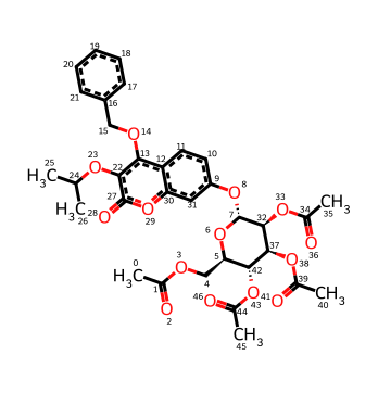 CC(=O)OC[C@H]1O[C@H](Oc2ccc3c(OCc4ccccc4)c(OC(C)C)c(=O)oc3c2)[C@@H](OC(C)=O)[C@@H](OC(C)=O)[C@@H]1OC(C)=O